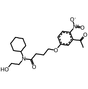 CC(=O)c1cc(OCCCC(=O)N(CCO)C2CCCCC2)ccc1[N+](=O)[O-]